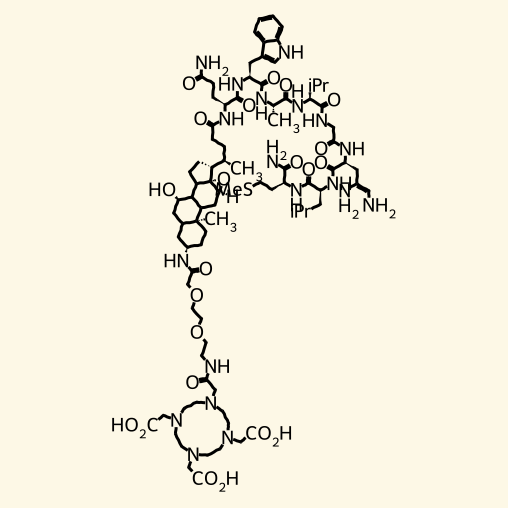 CSCC[C@H](NC(=O)[C@H](CC(C)C)NC(=O)[C@H](C/C(N)=C/N)NC(=O)CNC(=O)[C@@H](NC(=O)[C@H](C)NC(=O)[C@H](Cc1c[nH]c2ccccc12)NC(=O)[C@H](CCC(N)=O)NC(=O)CC[C@@H](C)[C@H]1CCC2C3C(C[C@@H]4O[C@@]241)[C@@]1(C)CC[C@H](NC(=O)COCCOCCNC(=O)CN2CCN(CC(=O)O)CCN(CC(=O)O)CCN(CC(=O)O)CC2)CC1C[C@H]3O)C(C)C)C(N)=O